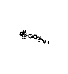 CNCCC(=O)Nc1ccc(N2CCN(C(=O)Nc3c(Cl)cccc3Cl)CC2)cc1